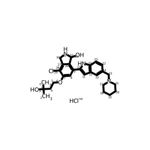 CC(C)(O)CCOc1cc(-c2cc3cc(CN4CCCCC4)ccc3[nH]2)c2c(c1Cl)CNC2O.Cl